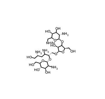 CC(=O)NCC1O[C@H](OC2[C@@H](CO)O[C@@H](OC[C@H](O[C@H]3OC(CO)[C@@H](O)[C@H](O)C3N)C(N)C[C@@H](N)CO)[C@H]2O)[C@@H](N)C(O)[C@@H]1O